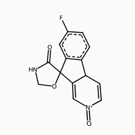 O=C1NCOC12C1=C[N+](=O)C=CC1c1ccc(F)cc12